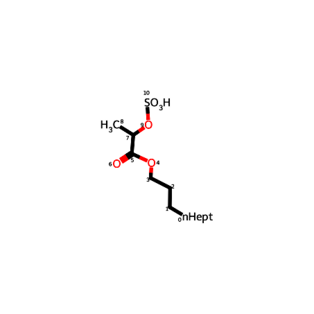 CCCCCCCCCCOC(=O)C(C)OS(=O)(=O)O